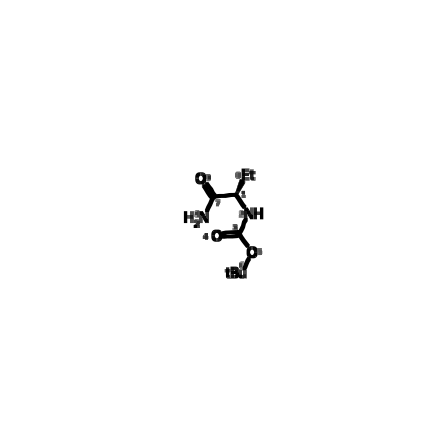 CC[C@@H](NC(=O)OC(C)(C)C)C(N)=O